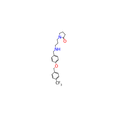 O=C1CCCN1CCCNCc1ccc(OCc2ccc(C(F)(F)F)cc2)cc1